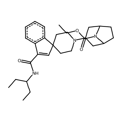 CCOC(=O)N1C2CCC1CC(N1CCC3(C=C(C(=O)NC(CC)CC)c4ccccc43)CC1)C2